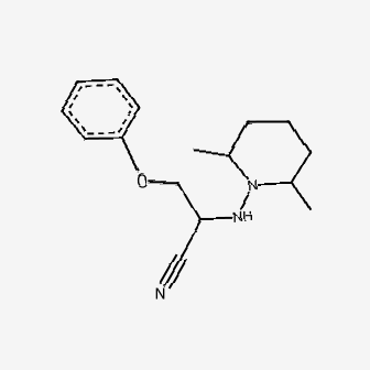 CC1CCCC(C)N1NC(C#N)COc1ccccc1